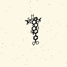 C=C(C)[C@@H]1CC[C@]2(Nc3nc(C)c(C)s3)CC[C@]3(C)[C@H](CC[C@@H]4[C@@]5(C)CC=C(c6ccc(C(=O)OC)cc6)C(C)(C)[C@@H]5CC[C@]43C)[C@@H]12